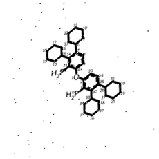 Pc1c(Oc2ccc(C3CCCCC3)c(C3CCCCC3)c2P)ccc(C2CCCCC2)c1C1CCCCC1